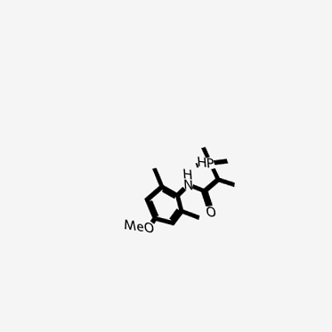 COc1cc(C)c(NC(=O)C(C)[PH](C)(C)C)c(C)c1